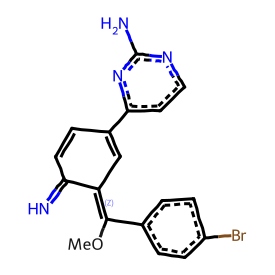 CO/C(=C1/C=C(c2ccnc(N)n2)C=CC1=N)c1ccc(Br)cc1